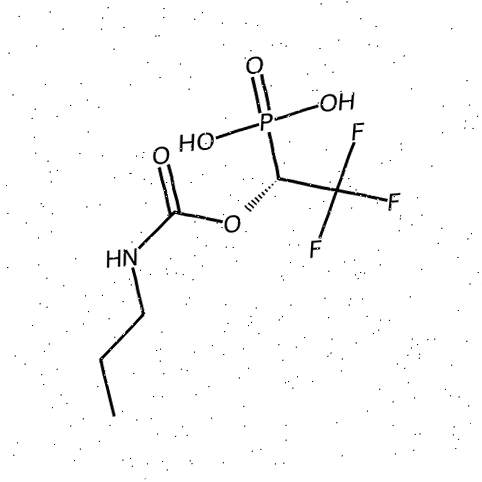 CCCNC(=O)O[C@@H](C(F)(F)F)P(=O)(O)O